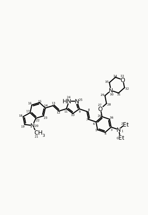 CCN(CC)c1ccc(C=Cc2cc(C=Cc3ccc4ccn(C)c4c3)[nH]n2)c(OCCN2CCOCC2)c1